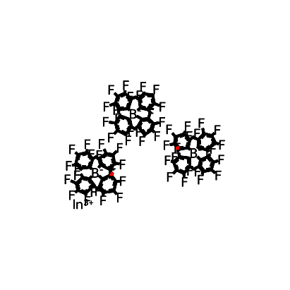 Fc1c(F)c(F)c([B-](c2c(F)c(F)c(F)c(F)c2F)(c2c(F)c(F)c(F)c(F)c2F)c2c(F)c(F)c(F)c(F)c2F)c(F)c1F.Fc1c(F)c(F)c([B-](c2c(F)c(F)c(F)c(F)c2F)(c2c(F)c(F)c(F)c(F)c2F)c2c(F)c(F)c(F)c(F)c2F)c(F)c1F.Fc1c(F)c(F)c([B-](c2c(F)c(F)c(F)c(F)c2F)(c2c(F)c(F)c(F)c(F)c2F)c2c(F)c(F)c(F)c(F)c2F)c(F)c1F.[In+3]